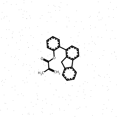 C=C(C)C(=O)Oc1ccccc1-c1cccc2c1Cc1ccccc1-2